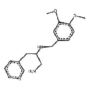 COc1ccc(CNC(CN)Cc2cccnc2)cc1OC